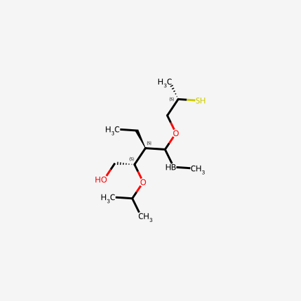 CBC(OC[C@H](C)S)[C@H](CC)[C@@H](CO)OC(C)C